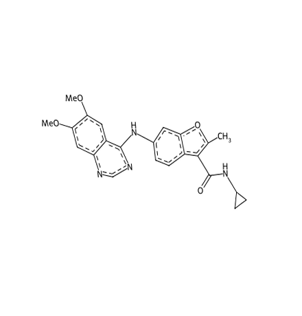 COc1cc2ncnc(Nc3ccc4c(C(=O)NC5CC5)c(C)oc4c3)c2cc1OC